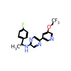 C[C@@H](Nc1cnc(-c2cncc(OCC(F)(F)F)c2)cn1)c1ccc(F)cc1